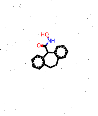 O=C(NO)C1c2ccccc2CCc2ccccc21